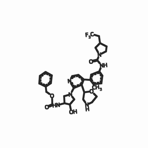 Cc1ccc(NC(=O)N2CCC(CC(F)(F)F)C2)cc1-c1ccnc(N2CC(O)C(NC(=O)OCc3ccccc3)C2)c1C1CNCCO1